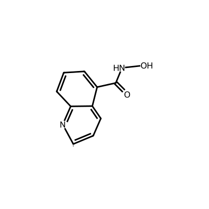 O=C(NO)c1cccc2n[c]ccc12